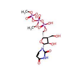 COP(=O)(O)OP(=O)(OC)OP(=O)(O)OC[C@H]1O[C@@H](n2ccc(=O)[nH]c2=O)[C@H](O)[C@@H]1CO